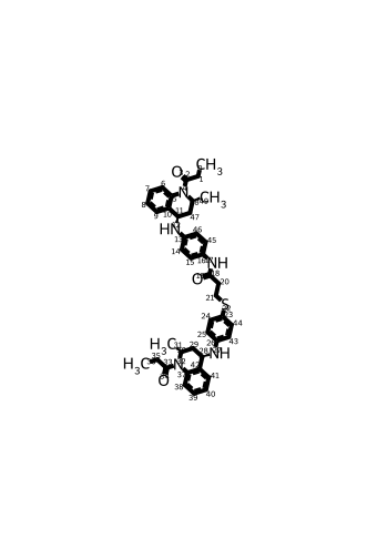 CCC(=O)N1c2ccccc2[C@H](Nc2ccc(NC(=O)CCSc3ccc(N[C@@H]4C[C@H](C)N(C(=O)CC)c5ccccc54)cc3)cc2)C[C@@H]1C